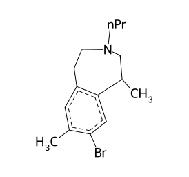 CCCN1CCc2cc(C)c(Br)cc2C(C)C1